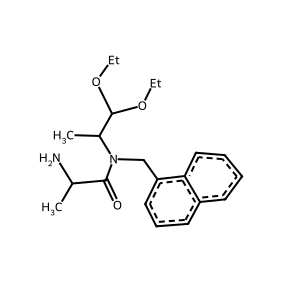 CCOC(OCC)C(C)N(Cc1cccc2ccccc12)C(=O)C(C)N